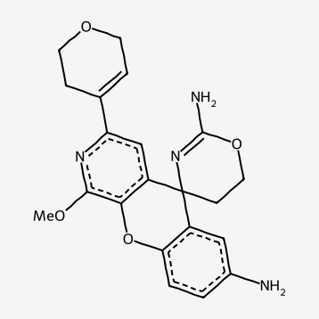 COc1nc(C2=CCOCC2)cc2c1Oc1ccc(N)cc1C21CCOC(N)=N1